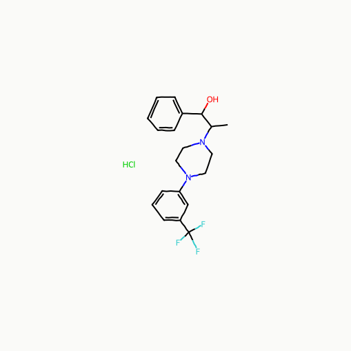 CC(C(O)c1ccccc1)N1CCN(c2cccc(C(F)(F)F)c2)CC1.Cl